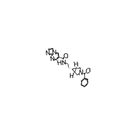 O=C(NCC[C@@H]1[C@H]2CN(C(=O)c3ccccc3)C[C@@H]12)c1cnc2nccn2c1